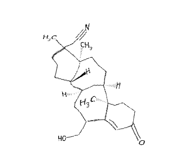 CC1(C#N)CC[C@H]2[C@@H]3CC(CO)C4=CC(=O)CC[C@]4(C)[C@@H]3CC[C@@]21C